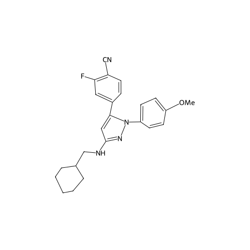 COc1ccc(-n2nc(NCC3CCCCC3)cc2-c2ccc(C#N)c(F)c2)cc1